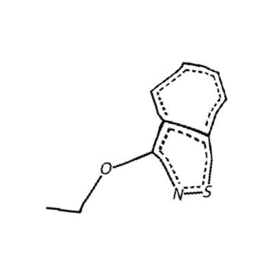 CCOc1nsc2ccccc12